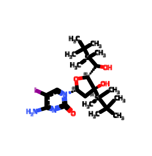 CC(C)(C)[Si](C)(C)C(O)[C@H]1O[C@@H](n2cc(I)c(N)nc2=O)C[C@@]1(O)[Si](C)(C)C(C)(C)C